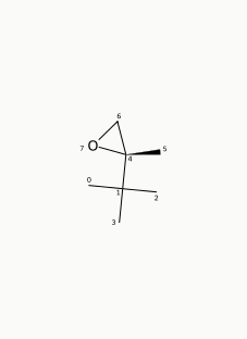 CC(C)(C)[C@@]1(C)CO1